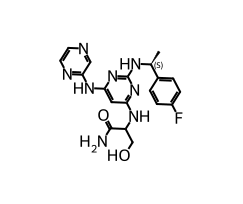 C[C@H](Nc1nc(Nc2cnccn2)cc(NC(CO)C(N)=O)n1)c1ccc(F)cc1